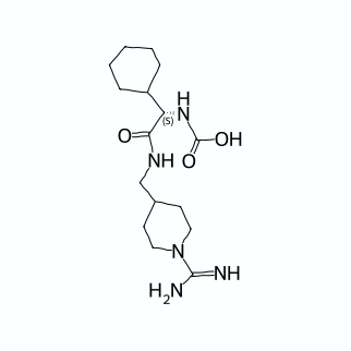 N=C(N)N1CCC(CNC(=O)[C@@H](NC(=O)O)C2CCCCC2)CC1